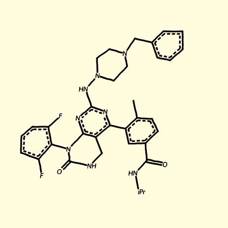 Cc1ccc(C(=O)NC(C)C)cc1-c1nc(NN2CCN(Cc3ccccc3)CC2)nc2c1CNC(=O)N2c1c(F)cccc1F